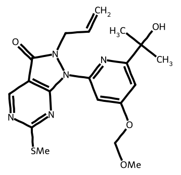 C=CCn1c(=O)c2cnc(SC)nc2n1-c1cc(OCOC)cc(C(C)(C)O)n1